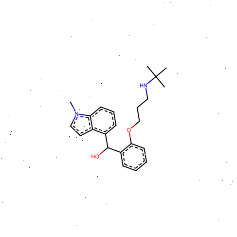 Cn1ccc2c(C(O)c3ccccc3OCCCNC(C)(C)C)cccc21